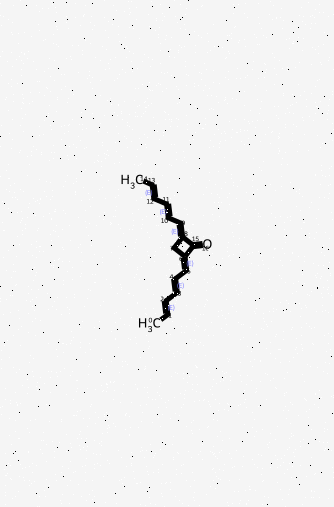 C/C=C/C=C/C=C1\C\C(=C/C=C/C=C/C)C1=O